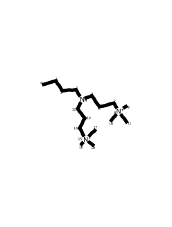 CCCCN(CCC[N+](C)(C)C)CCC[N+](C)(C)C